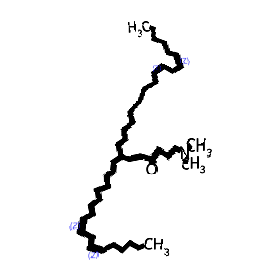 CCCCC/C=C\C/C=C\CCCCCCCCC(CCCCCCCC/C=C\C/C=C\CCCCC)CCC(=O)CCCN(C)C